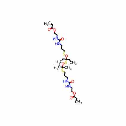 C=CC(=O)OCCNC(=O)NCCCSOC(CC)(CC)SOC(C)(C)SCCCNC(=O)NCCOC(=O)C=C